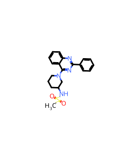 CS(=O)(=O)NC1CCCN(c2nc(-c3ccccc3)nc3ccccc23)C1